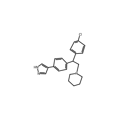 Clc1ccc(C(CN2CCCCC2)c2ccc(-c3cn[nH]c3)cc2)cc1